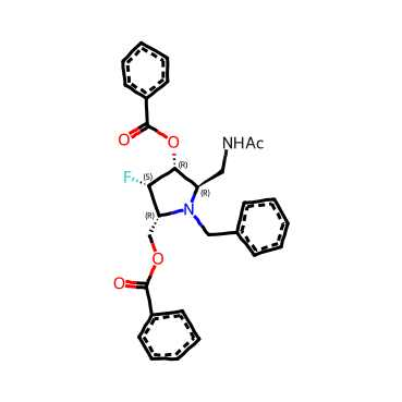 CC(=O)NC[C@@H]1[C@@H](OC(=O)c2ccccc2)[C@@H](F)[C@@H](COC(=O)c2ccccc2)N1Cc1ccccc1